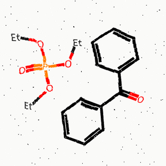 CCOP(=O)(OCC)OCC.O=C(c1ccccc1)c1ccccc1